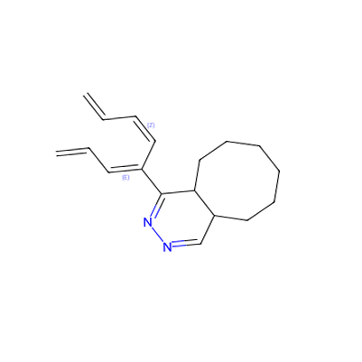 C=C/C=C\C(=C/C=C)C1=NN=CC2CCCCCCC12